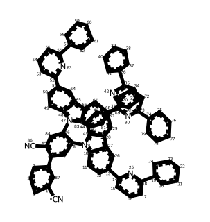 N#Cc1cccc(-c2cc(-n3c4ccc(-c5cccc(-c6ccccc6)n5)cc4c4cc(-c5cccc(-c6ccccc6)n5)ccc43)c(-n3c4ccc(-c5cccc(-c6ccccc6)n5)cc4c4cc(-c5cccc(-c6ccccc6)n5)ccc43)cc2C#N)c1